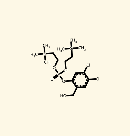 C[Si](C)(C)CCOP(=O)(OCC[Si](C)(C)C)Oc1cc(Cl)c(Cl)cc1CO